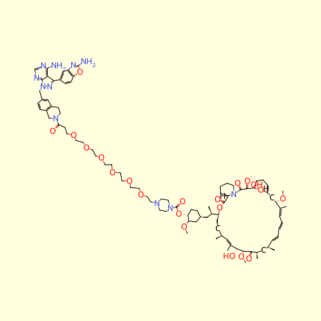 CO[C@H]1C[C@@H]2CC[C@@H](C)[C@@](O)(O2)C(=O)C(=O)N2CCCC[C@H]2C(=O)O[C@H]([C@H](C)C[C@@H]2CC[C@@H](OC(=O)N3CCN(CCOCCOCCOCCOCCOCCOCCC(=O)N4CCc5cc(Cn6nc(-c7ccc8oc(N)nc8c7)c7c(N)ncnc76)ccc5C4)CC3)[C@H](OC)C2)CC[C@H](C)/C=C(\C)[C@@H](O)[C@@H](OC)C(=O)[C@H](C)C[C@H](C)/C=C/C=C/C=C/1C